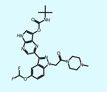 CN1CCN(C(=O)Cn2nc(-c3cnc4[nH]cc(OC(=O)NC(C)(C)C)c4n3)c3cc(OC(F)F)ccc32)CC1